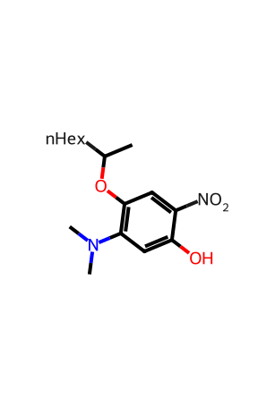 CCCCCCC(C)Oc1cc([N+](=O)[O-])c(O)cc1N(C)C